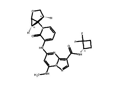 CNc1cc(Nc2cccn(C34C5OC[C@@H]3[C@H]54)c2=O)nc2c(C(=O)N[C@H]3CCC3(F)F)cnn12